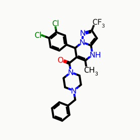 CC1=C(C(=O)N2CCN(Cc3ccccc3)CC2)C(c2ccc(Cl)c(Cl)c2)n2nc(C(F)(F)F)cc2N1